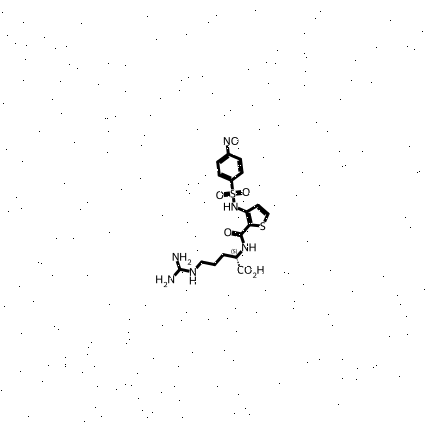 NC(N)NCCC[C@H](NC(=O)c1sccc1NS(=O)(=O)c1ccc(N=O)cc1)C(=O)O